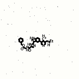 CCNCc1cncc(-c2ccc3[nH]nc(-c4ncc(C(=O)NCC(=O)OCc5ccccc5)[nH]4)c3c2)c1C